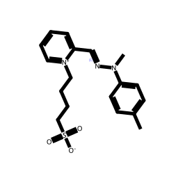 Cc1ccc(N(C)/N=C/c2cccc[n+]2CCCCS(=O)(=O)[O-])cc1